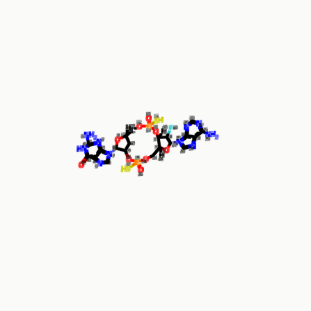 Nc1nc2c(ncn2[C@@H]2O[C@@H]3COP(=O)(S)O[C@@H]4C(F)[C@H](n5cnc6c(N)ncnc65)O[C@@H]4COP(=O)(S)OC2C3)c(=O)[nH]1